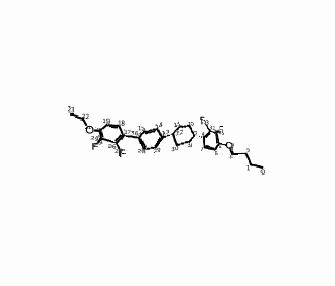 CCCCOc1ccc([C@H]2CC[C@H](c3ccc(-c4ccc(OCC)c(F)c4F)cc3)CC2)c(F)c1F